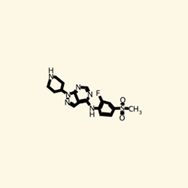 CS(=O)(=O)c1ccc(Nc2ncnc3c2cnn3C2CCNCC2)c(F)c1